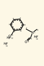 CN(C)C=O.Clc1ccccc1.F.F.F